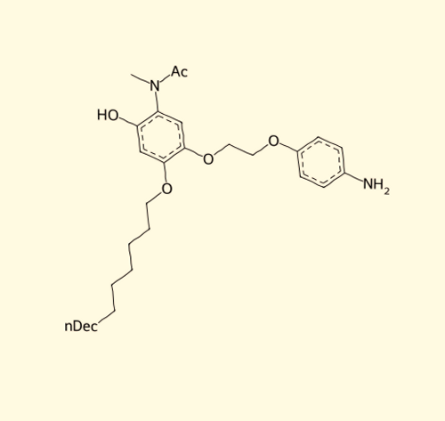 CCCCCCCCCCCCCCCCOc1cc(O)c(N(C)C(C)=O)cc1OCCOc1ccc(N)cc1